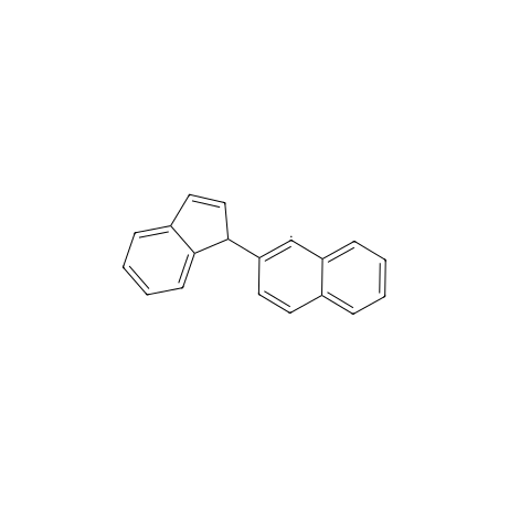 [c]1c(C2C=Cc3ccccc32)ccc2ccccc12